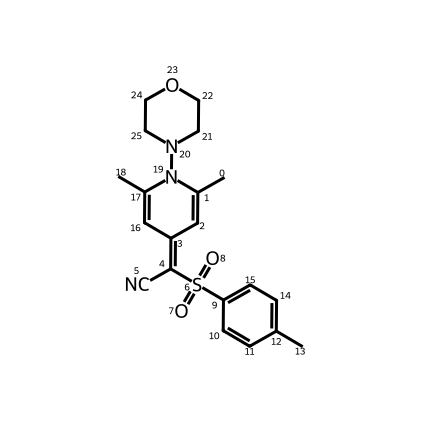 CC1=CC(=C(C#N)S(=O)(=O)c2ccc(C)cc2)C=C(C)N1N1CCOCC1